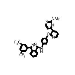 CNc1nccc(-c2cccnc2Oc2ccc(Nc3nnc(-c4cc(C(F)(F)F)cc(C(F)(F)F)c4)c4ccccc34)cc2)n1